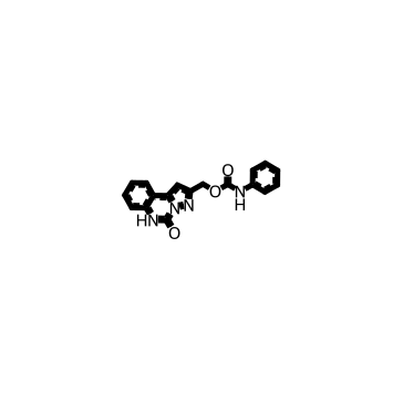 O=C(Nc1ccccc1)OCc1cc2c3ccccc3[nH]c(=O)n2n1